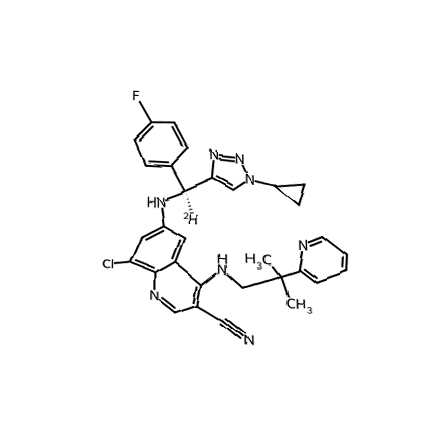 [2H][C@](Nc1cc(Cl)c2ncc(C#N)c(NCC(C)(C)c3ccccn3)c2c1)(c1ccc(F)cc1)c1cn(C2CC2)nn1